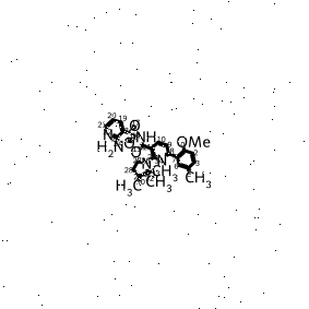 COc1ccc(C)cc1-c1ccc(C(=O)NS(=O)(=O)c2cccnc2N)c(N2CCC(C)C2(C)C)n1